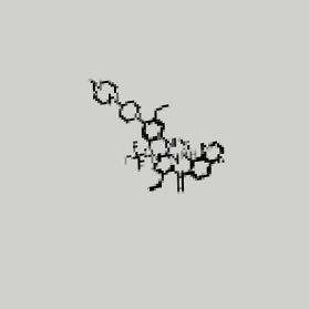 C=Cc1cnc(Nc2cc(CC)c(N3CCC(N4CCN(C)CC4)CC3)cc2OC(F)(F)F)nc1Nc1ccc2nccnc2c1NSC